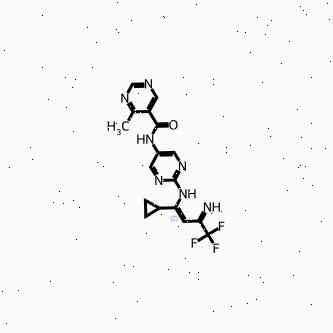 Cc1ncncc1C(=O)Nc1cnc(N/C(=C\C(=N)C(F)(F)F)C2CC2)nc1